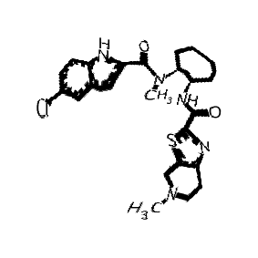 CN1CCc2nc(C(=O)N[C@@H]3CCCC[C@@H]3N(C)C(=O)c3cc4cc(Cl)ccc4[nH]3)sc2C1